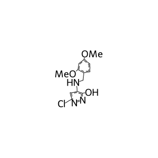 COc1ccc(CNc2cc(Cl)nnc2O)c(OC)c1